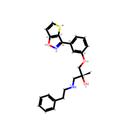 C[C@@](O)(CNCCc1ccccc1)COc1cccc(-c2noc3ccsc23)c1